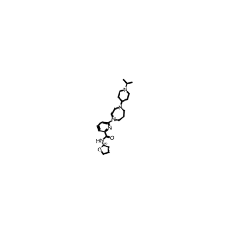 CC(C)N1CCC(N2CCCN(c3cccc(C(=O)N[C@H]4CCCO4)n3)CC2)CC1